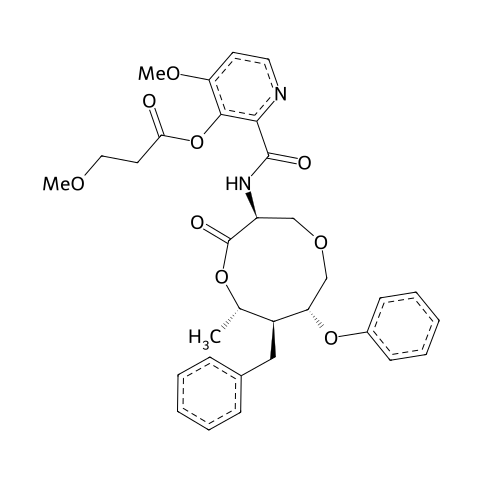 COCCC(=O)Oc1c(OC)ccnc1C(=O)N[C@H]1COC[C@H](Oc2ccccc2)[C@@H](Cc2ccccc2)[C@H](C)OC1=O